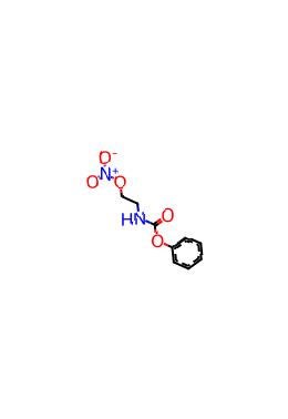 O=C(NCCO[N+](=O)[O-])Oc1ccccc1